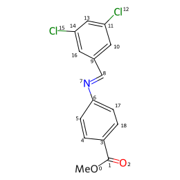 COC(=O)c1ccc(N=Cc2cc(Cl)cc(Cl)c2)cc1